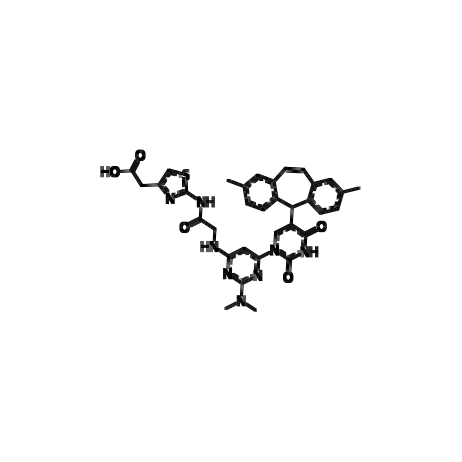 Cc1ccc2c(c1)C=Cc1cc(C)ccc1C2c1cn(-c2cc(NCC(=O)Nc3nc(CC(=O)O)cs3)nc(N(C)C)n2)c(=O)[nH]c1=O